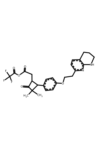 CC1(C)C(=O)C(CC(=O)OC(=O)C(F)(F)F)C1c1ccc(OCCc2ccc3c(n2)NCCC3)cc1